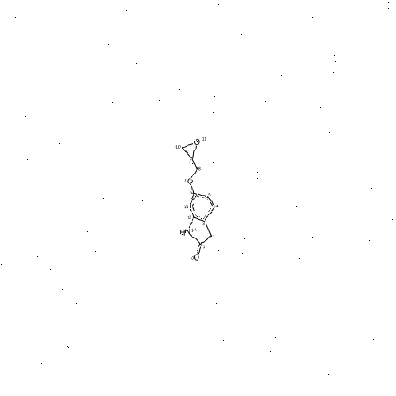 O=C1Cc2ccc(OCC3CO3)cc2N1